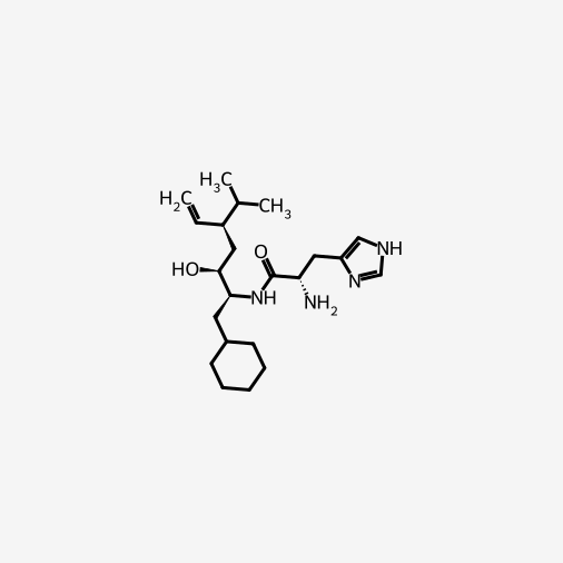 C=C[C@H](C[C@H](O)[C@H](CC1CCCCC1)NC(=O)[C@@H](N)Cc1c[nH]cn1)C(C)C